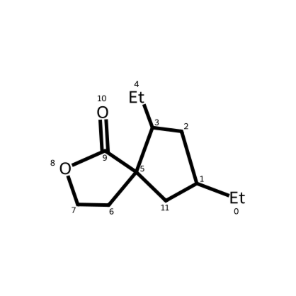 CCC1CC(CC)C2(CCOC2=O)C1